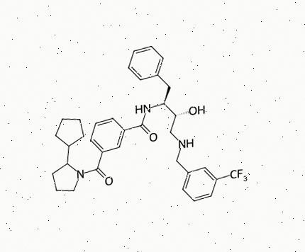 O=C(N[C@@H](Cc1ccccc1)[C@H](O)CNCc1cccc(C(F)(F)F)c1)c1cccc(C(=O)N2CCCC2C2CCCC2)c1